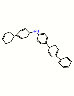 C1=CCC(C2=CCC(Nc3ccc(C4C=CC(c5ccccc5)=CC4)cc3)C=C2)CC1